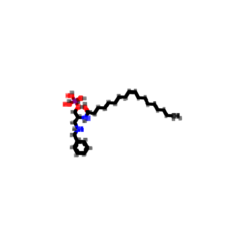 CCCCCCCC/C=C\CCCCCCCC(=O)N[C@@H](CNCc1ccccc1)COP(=O)(O)O